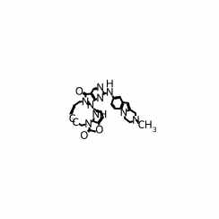 CN1CCn2c(cc3cc(Nc4ncc5c(=O)n6n(c5n4)C4=CC=C5OCC(=O)N(CCC/C=C\C6)C5N4)ccc32)C1